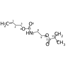 C=CCCOC(=O)NCCOC(=O)C(=C)C